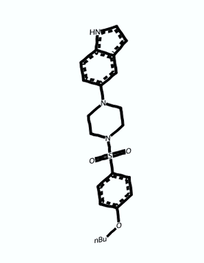 CCCCOc1ccc(S(=O)(=O)N2CCN(c3ccc4[nH]ccc4c3)CC2)cc1